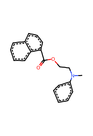 CN(CCOC(=O)c1cccc2ccccc12)c1ccccc1